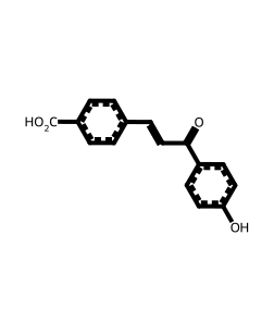 O=C(O)c1ccc(C=CC(=O)c2ccc(O)cc2)cc1